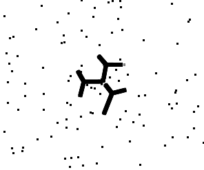 [CH2][C](C)P(C(C)C)C(C)C